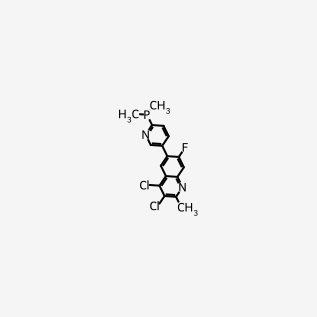 Cc1nc2cc(F)c(-c3ccc(P(C)C)nc3)cc2c(Cl)c1Cl